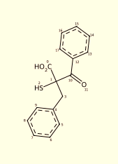 O=C(O)C(S)(Cc1ccccc1)C(=O)c1ccccc1